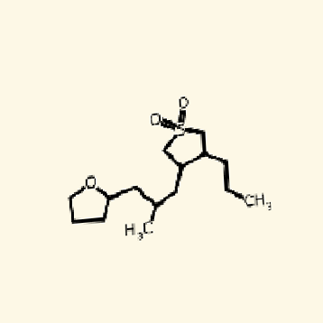 CCCC1CS(=O)(=O)CC1CC(C)CC1CCCO1